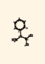 CCN(CC)N(N)c1ccccc1